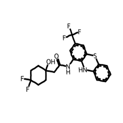 O=C(CC1(O)CCC(F)(F)CC1)Nc1cc(C(F)(F)F)cc2c1Nc1ccccc1S2